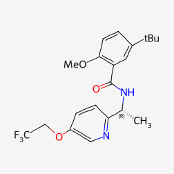 COc1ccc(C(C)(C)C)cc1C(=O)N[C@H](C)c1ccc(OCC(F)(F)F)cn1